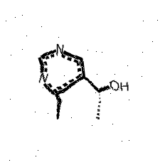 Cc1ncncc1[C@@H](C)O